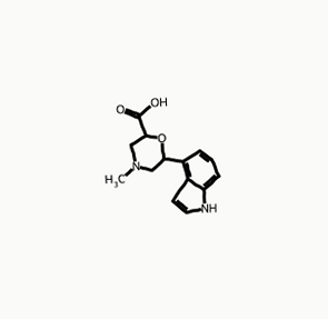 CN1CC(C(=O)O)OC(c2cccc3[nH]ccc23)C1